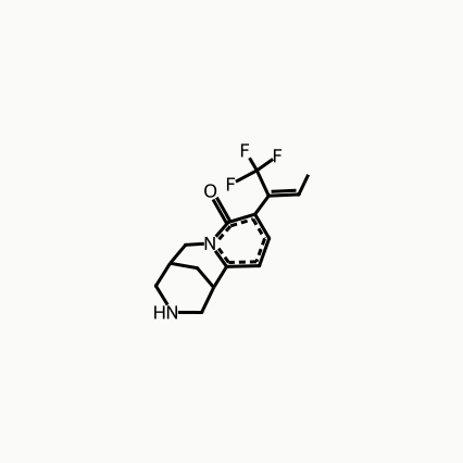 CC=C(c1ccc2n(c1=O)CC1CNCC2C1)C(F)(F)F